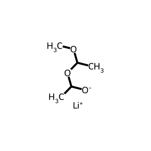 COC(C)OC(C)[O-].[Li+]